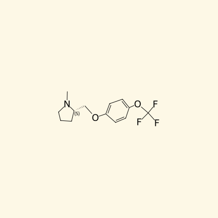 CN1CCC[C@H]1COc1ccc(OC(F)(F)F)cc1